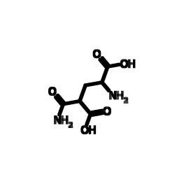 NC(=O)C(CC(N)C(=O)O)C(=O)O